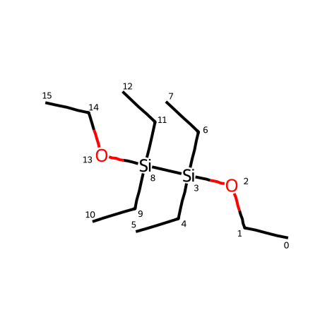 CCO[Si](CC)(CC)[Si](CC)(CC)OCC